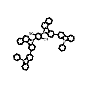 N#Cc1cc(-n2c3ccc(-c4ccc5c6ccccc6n(-c6ccccc6)c5c4)cc3c3c4ccccc4ccc32)c(C#N)cc1-n1c2ccc(-c3ccc4c5ccccc5n(-c5ccccc5)c4c3)cc2c2c3ccccc3ccc21